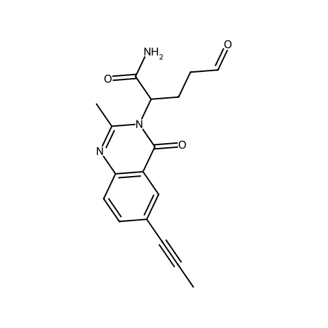 CC#Cc1ccc2nc(C)n(C(CCC=O)C(N)=O)c(=O)c2c1